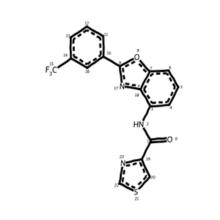 O=C(Nc1cccc2oc(-c3cccc(C(F)(F)F)c3)nc12)c1cscn1